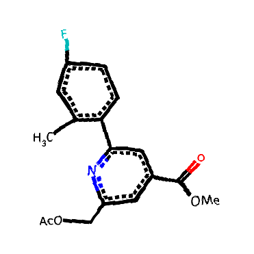 COC(=O)c1cc(COC(C)=O)nc(-c2ccc(F)cc2C)c1